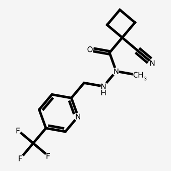 CN(NCc1ccc(C(F)(F)F)cn1)C(=O)C1(C#N)CCC1